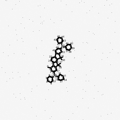 Cc1cc(N(c2ccccc2)c2ccccc2)cc2c1-c1ccc3c(c1C2(C)C)C(C)(C)c1cc(N(c2ccccc2)c2ccccc2)ccc1-3